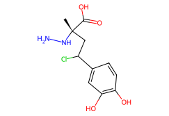 C[C@@](CC(Cl)c1ccc(O)c(O)c1)(NN)C(=O)O